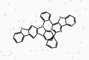 c1ccc(-c2nc(-c3ccccc3-n3c4ccccc4c4cc5c(cc43)sc3ccccc35)c3sc4ccccc4c3n2)cc1